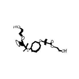 CC(C)(OC1CCCCC(OC(C)(C)C(=O)OCCO)CC1)C(=O)OCCO